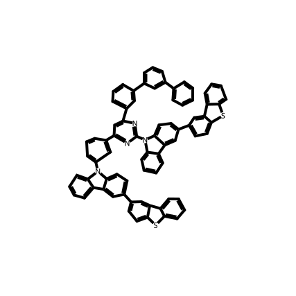 c1ccc(-c2cccc(-c3cccc(-c4cc(-c5cccc(-n6c7ccccc7c7cc(-c8ccc9sc%10ccccc%10c9c8)ccc76)c5)nc(-n5c6ccccc6c6cc(-c7ccc8sc9ccccc9c8c7)ccc65)n4)c3)c2)cc1